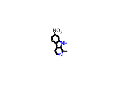 Cc1nccc2c1[nH]c1cc([N+](=O)[O-])ccc12